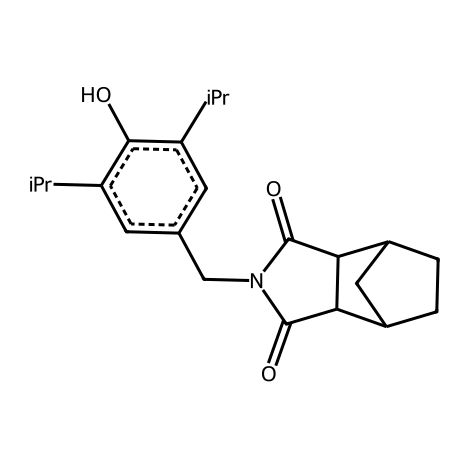 CC(C)c1cc(CN2C(=O)C3C4CCC(C4)C3C2=O)cc(C(C)C)c1O